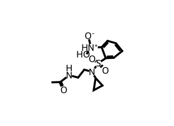 CC(=O)NCCN(C1CC1)S(=O)(=O)c1ccccc1[NH+]([O-])O